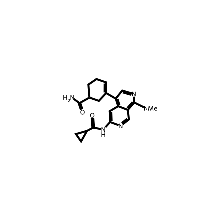 CNc1ncc(C2=CCCC(C(N)=O)C2)c2cc(NC(=O)C3CC3)ncc12